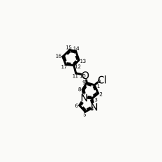 Clc1cc2nccn2cc1OCc1ccccc1